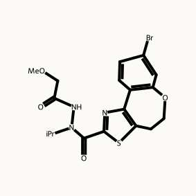 COCC(=O)NN(C(=O)c1nc2c(s1)CCOc1cc(Br)ccc1-2)C(C)C